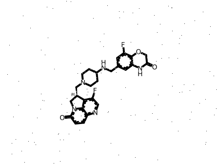 O=C1COc2c(F)cc(CNC3CCN(C[C@@H]4Cn5c(=O)ccc6ncc(F)c4c65)CC3)cc2N1